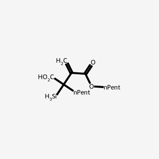 C=C(C(=O)OCCCCC)C([SiH3])(CCCCC)C(=O)O